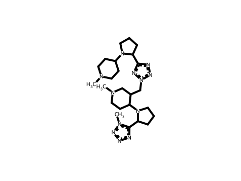 CN1CCC(N2CCCC2c2nnn(CC3CN(C)CCC3N3CCCC3c3nnnn3C)n2)CC1